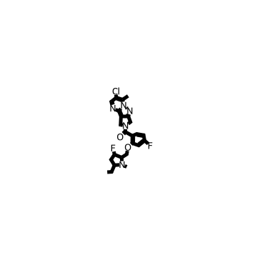 CCC1CC(F)C(COc2cc(F)ccc2C(=O)N2Cc3nn4c(C)c(Cl)cnc4c3C2)N1C